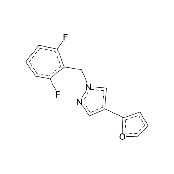 Fc1cccc(F)c1Cn1cc(-c2ccco2)cn1